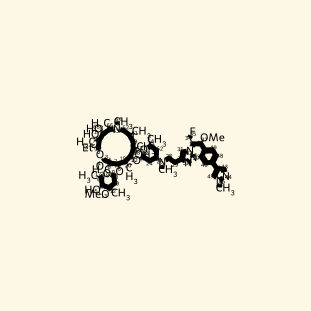 CC[C@H]1OC(=O)[C@H](C)[C@@H](O[C@H]2C[C@@](C)(OC)[C@@H](O)[C@H](C)O2)[C@H](C)[C@@H](O[C@H]2C[C@@H](N(C)CCc3cn([C@H](CF)[C@H](OC)c4ccc(-c5cnn(C)c5)cc4)nn3)C[C@@H](C)O2)[C@](C)(O)C[C@@H](C)CN(C)[C@H](C)[C@@H](O)[C@]1(C)O